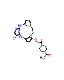 CC(=O)N1CCN(C(=O)COc2ccc3cc2CCC2C=CC=C(C2)Nc2ncc(Cl)c(n2)N3)CC1